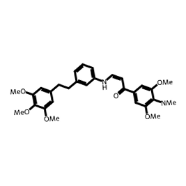 CNc1c(OC)cc(C(=O)/C=C\Nc2cccc(CCc3cc(OC)c(OC)c(OC)c3)c2)cc1OC